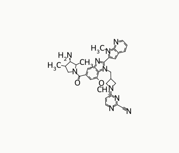 COc1cc(C(=O)N2CC(C)[C@@H](N)C2C)cc2nc(-c3cc4cccnc4n3C)n(CC3CN(c4ccnc(C#N)n4)C3)c12